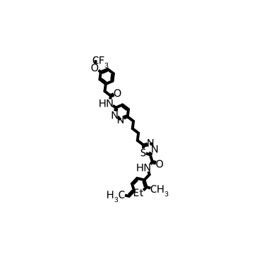 C\C=C/C=C\C(CNC(=O)c1nnc(CCCCc2ccc(NC(=O)Cc3cccc(OC(F)(F)F)c3)nn2)s1)=C(\C)CC